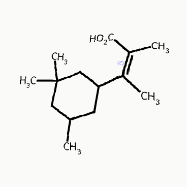 C/C(C(=O)O)=C(\C)C1CC(C)CC(C)(C)C1